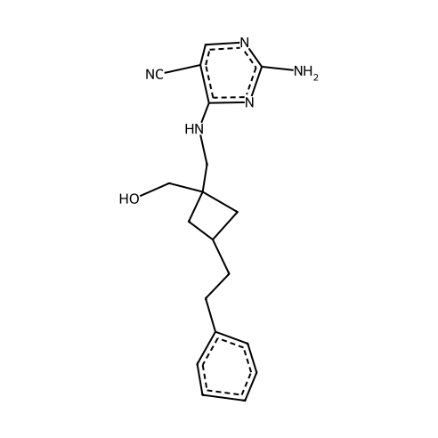 N#Cc1cnc(N)nc1NCC1(CO)CC(CCc2ccccc2)C1